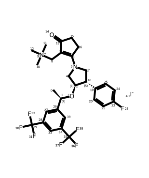 C[C@@H](O[C@H]1CN(C2=C(C[N+](C)(C)C)C(=O)CC2)C[C@@H]1c1ccc(F)cc1)c1cc(C(F)(F)F)cc(C(F)(F)F)c1.[I-]